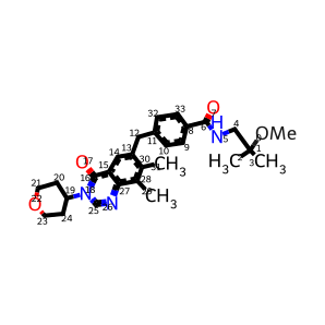 COC(C)(C)CNC(=O)c1ccc(Cc2cc3c(=O)n(C4CCOCC4)cnc3c(C)c2C)cc1